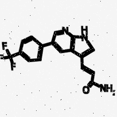 NC(=O)C=Cc1c[nH]c2ncc(-c3ccc(C(F)(F)F)cc3)cc12